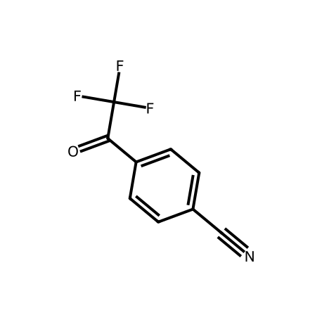 N#Cc1ccc(C(=O)C(F)(F)F)cc1